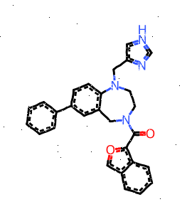 O=C(c1occ2ccccc12)N1CCN(Cc2c[nH]cn2)c2ccc(-c3ccccc3)cc2C1